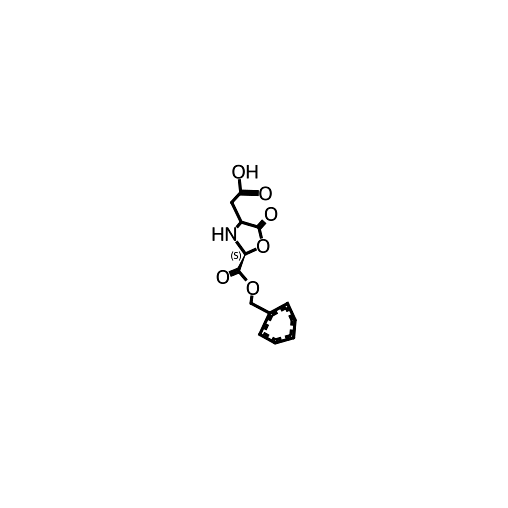 O=C(O)CC1N[C@H](C(=O)OCc2ccccc2)OC1=O